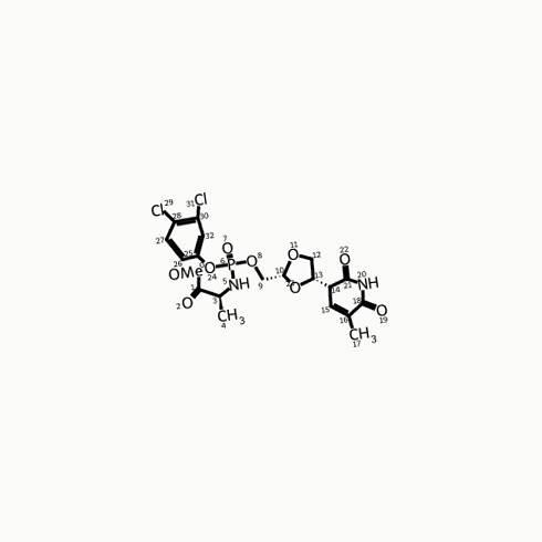 COC(=O)[C@H](C)NP(=O)(OC[C@@H]1OC[C@H](C2C=C(C)C(=O)NC2=O)O1)Oc1ccc(Cl)c(Cl)c1